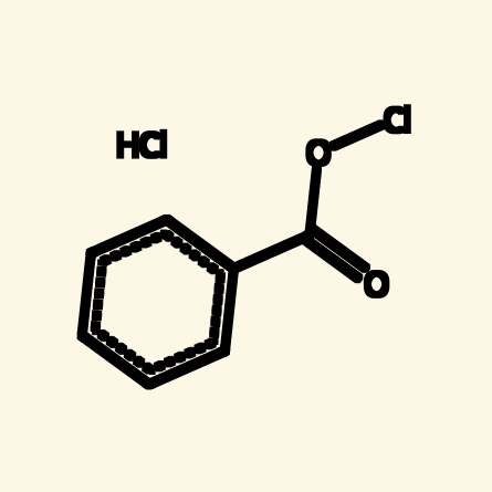 Cl.O=C(OCl)c1ccccc1